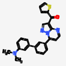 CN(C)c1cccc(-c2cccc(-c3ccnc4c(C(=O)c5cccs5)cnn34)c2)c1